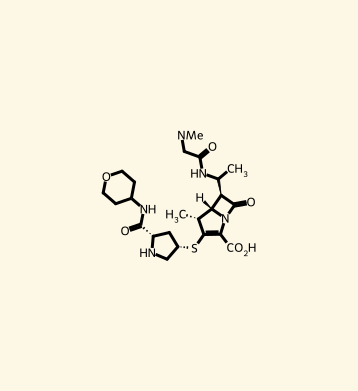 CNCC(=O)NC(C)[C@H]1C(=O)N2C(C(=O)O)=C(S[C@@H]3CN[C@H](C(=O)NC4CCOCC4)C3)[C@H](C)[C@H]12